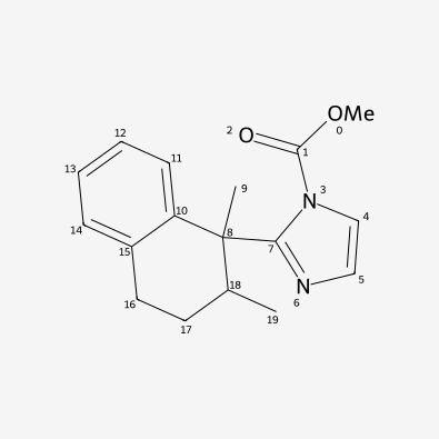 COC(=O)n1ccnc1C1(C)c2ccccc2CCC1C